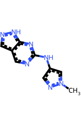 Cn1cc(Nc2ncc3cn[nH]c3n2)cn1